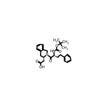 CC(C)(C)OC(=O)N[C@@H](CCc1ccccc1)C(=O)N1Cc2ccccc2C[C@@H]1CC(=O)O